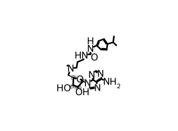 CC(C)c1ccc(NC(=O)NCCCN(C)C[C@H]2O[C@@H](n3cnc4c(N)ncnc43)[C@H](O)[C@@H]2O)cc1